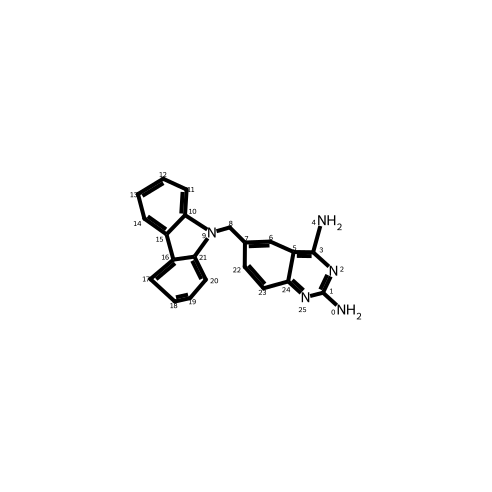 Nc1nc(N)c2cc(Cn3c4ccccc4c4ccccc43)ccc2n1